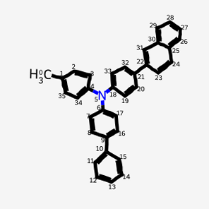 Cc1ccc(N(c2ccc(-c3ccccc3)cc2)c2ccc(-c3ccc4ccccc4c3)cc2)cc1